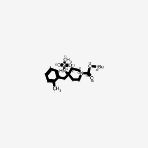 Cc1ccccc1CC1(NS(C)(=O)=O)CCN(C(=O)OC(C)(C)C)CC1